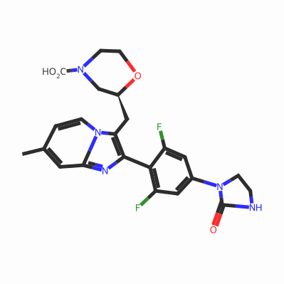 Cc1ccn2c(C[C@H]3CN(C(=O)O)CCO3)c(-c3c(F)cc(N4CCNC4=O)cc3F)nc2c1